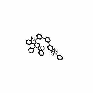 c1ccc(-c2nc3cc(-c4cccc(-c5cccc(-c6nc7ccccc7c7c(-c8ccccc8)c8c(cc67)oc6ccccc68)c5)c4)ccc3s2)cc1